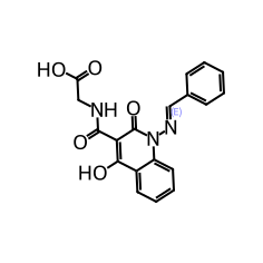 O=C(O)CNC(=O)c1c(O)c2ccccc2n(/N=C/c2ccccc2)c1=O